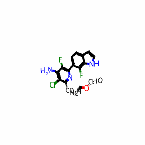 N#CCOC=O.Nc1c(F)c(-c2ccc3cc[nH]c3c2F)nc(C(=O)O)c1Cl